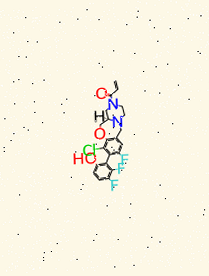 C=CC(=O)N1CCN2Cc3cc(F)c(-c4c(O)ccc(F)c4F)c(Cl)c3OC[C@H]2C1